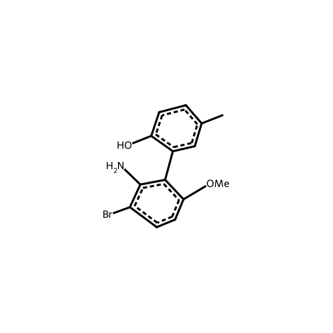 COc1ccc(Br)c(N)c1-c1cc(C)ccc1O